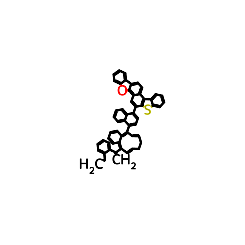 C=Cc1ccccc1C(=C)C1=c2\cccc\c2=C(c2ccc(-c3cc4c(ccc5c6ccccc6oc54)c4c3sc3ccccc34)c3ccccc23)\C=C\CC\C=C\1